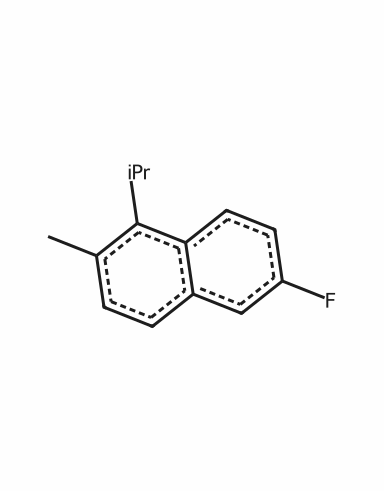 Cc1ccc2cc(F)ccc2c1C(C)C